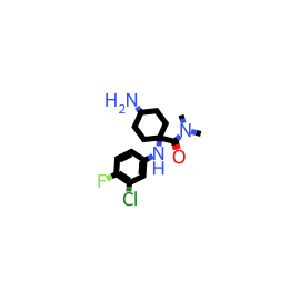 CN(C)C(=O)C1(Nc2ccc(F)c(Cl)c2)CCC(N)CC1